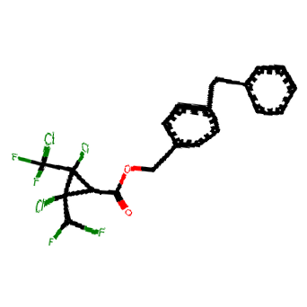 O=C(OCc1ccc(Cc2ccccc2)cc1)C1C(Cl)(C(F)F)C1(Cl)C(F)(F)Cl